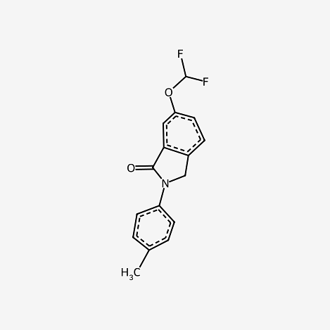 Cc1ccc(N2Cc3ccc(OC(F)F)cc3C2=O)cc1